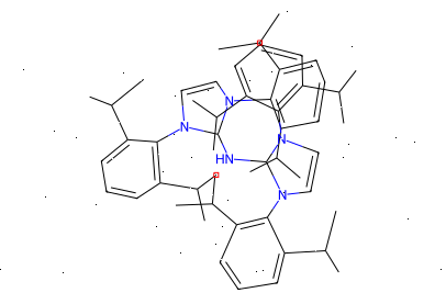 CC(C)c1cccc(C(C)C)c1N1C=CN(c2c(C(C)C)cccc2C(C)C)C1NC1N(c2c(C(C)C)cccc2C(C)C)C=CN1c1c(C(C)C)cccc1C(C)C